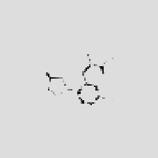 CC(=Cc1cc(Br)ccc1N1CCC(=O)C1)C(=O)O